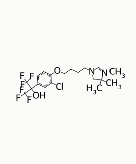 C[N+]1=CN(CCCCOc2ccc(C(O)(C(F)(F)F)C(F)(F)F)cc2Cl)CC1(C)C